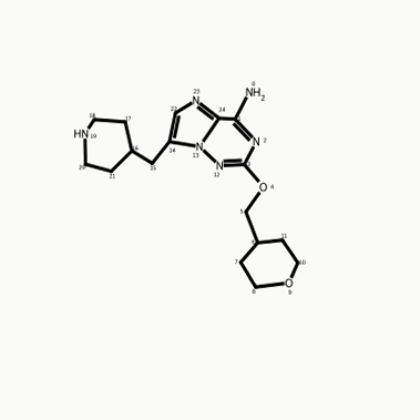 Nc1nc(OCC2CCOCC2)nn2c(CC3CCNCC3)cnc12